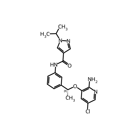 CC(C)n1cc(C(=O)Nc2cccc([C@@H](C)Oc3cc(Cl)cnc3N)c2)cn1